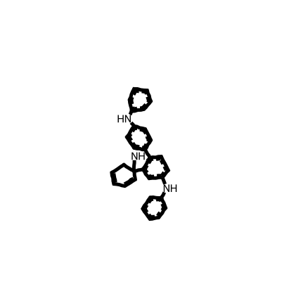 NC1(c2cc(Nc3ccccc3)ccc2-c2ccc(Nc3ccccc3)cc2)C=CC=CC1